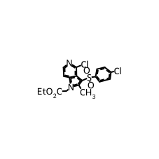 CCOC(=O)Cn1c(C)c(S(=O)(=O)c2ccc(Cl)cc2)c2c(Cl)nccc21